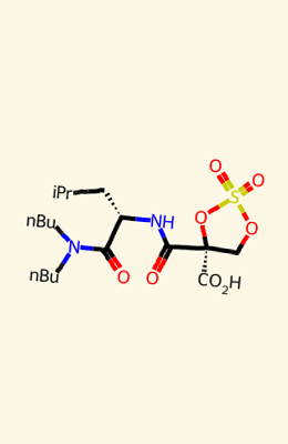 CCCCN(CCCC)C(=O)[C@H](CC(C)C)NC(=O)[C@]1(C(=O)O)COS(=O)(=O)O1